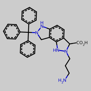 NCCCN1Nc2c(ccc3c2CN(C(c2ccccc2)(c2ccccc2)c2ccccc2)N3)C1C(=O)O